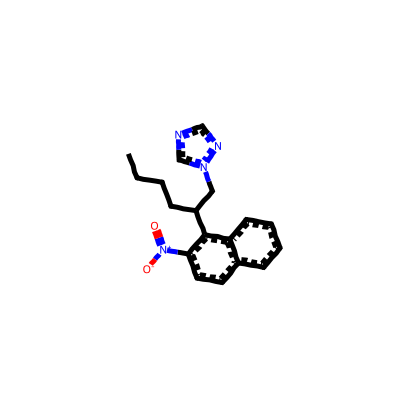 CCCCC(Cn1cncn1)c1c([N+](=O)[O-])ccc2ccccc12